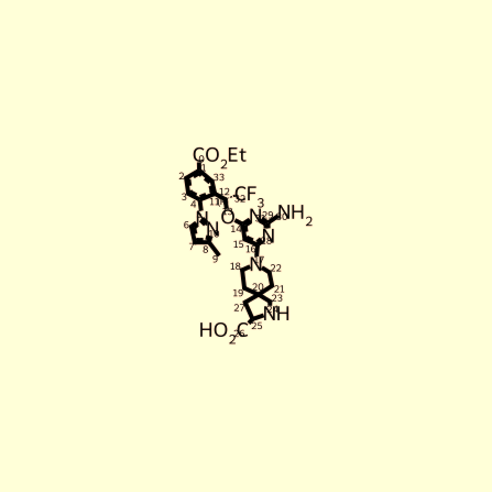 CCOC(=O)c1ccc(-n2ccc(C)n2)c([C@@H](Oc2cc(N3CCC4(CC3)CNC(C(=O)O)C4)nc(N)n2)C(F)(F)F)c1